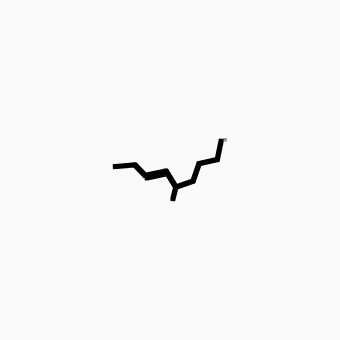 [CH2]CCCC(C)C=CCC